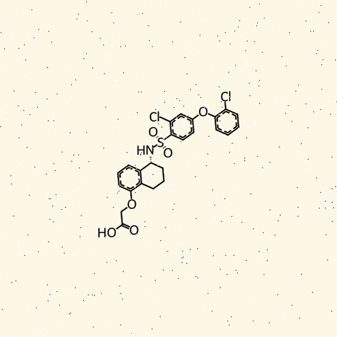 O=C(O)COc1cccc2c1CCC[C@H]2NS(=O)(=O)c1ccc(Oc2ccccc2Cl)cc1Cl